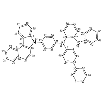 c1ccc(-c2ccc(N(c3ccc(-n4c5ccccc5c5c6ccccc6ccc54)cc3)c3cccc4c3sc3ccccc34)cc2)cc1